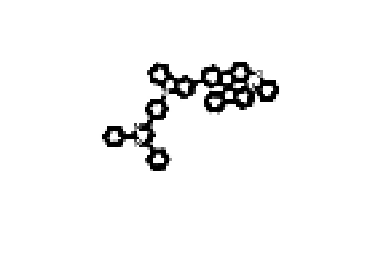 c1ccc(-c2cc(-c3ccc(-n4c5ccccc5c5cc(-c6ccc7c(c6)C6(c8ccccc8-c8ccccc86)c6c-7ccc7c6Oc6ccccc6O7)ccc54)cc3)nc(-c3ccccc3)n2)cc1